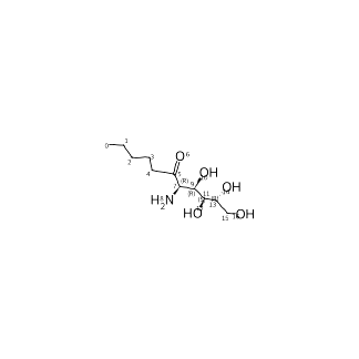 CCCCCC(=O)[C@H](N)[C@@H](O)[C@H](O)[C@H](O)CO